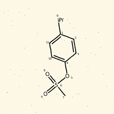 CC(C)c1ccc(OS(C)(=O)=O)cc1